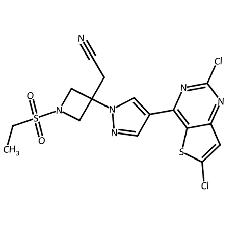 CCS(=O)(=O)N1CC(CC#N)(n2cc(-c3nc(Cl)nc4cc(Cl)sc34)cn2)C1